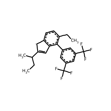 CCc1ccc2c(c1-c1cc(C(F)(F)F)cc(C(F)(F)F)c1)C=C(C(C)CC)[CH]2